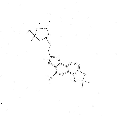 CC1(O)CCCN(CCc2nc3c4ccc5c(c4nc(N)n3n2)OC(F)(F)O5)C1